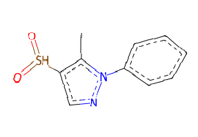 Cc1c([SH](=O)=O)cnn1-c1ccccc1